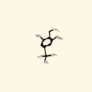 CCc1c(O)cc(C(C)(C)C)cc1O